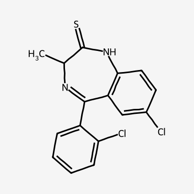 CC1N=C(c2ccccc2Cl)c2cc(Cl)ccc2NC1=S